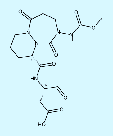 COC(=O)NN1CCC(=O)N2CCC[C@@H](C(=O)N[C@H](C=O)CC(=O)O)N2C1=O